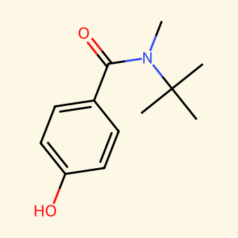 CN(C(=O)c1ccc(O)cc1)C(C)(C)C